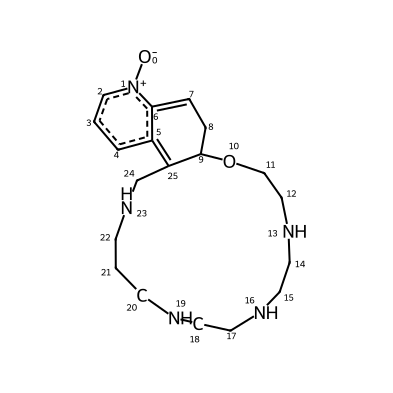 [O-][n+]1cccc2c1=CCC1OCCNCCNCCNCCCNCC=21